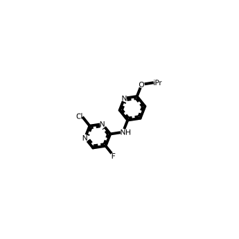 CC(C)Oc1ccc(Nc2nc(Cl)ncc2F)cn1